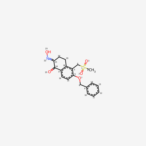 CS(=O)(=O)Cc1c(OCc2ccccc2)ccc2c1CCC(=NO)C2=O